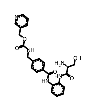 N[C@@H](CO)C(=O)Nc1ccccc1NC(=O)c1ccc(CNC(=O)OCc2cccnc2)cc1